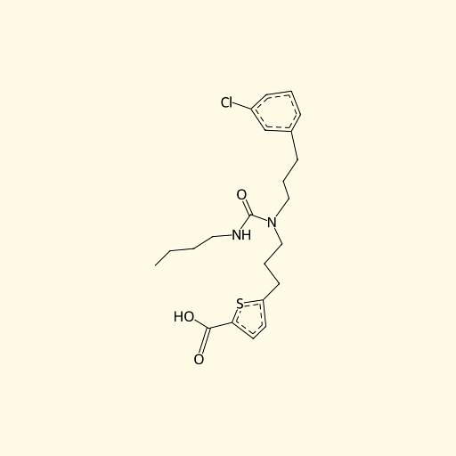 CCCCNC(=O)N(CCCc1cccc(Cl)c1)CCCc1ccc(C(=O)O)s1